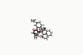 Cc1cccc2ccnc(N(C(=O)c3ccc(C#N)cc3-c3ccccn3)[C@@H]3CCCNC3)c12